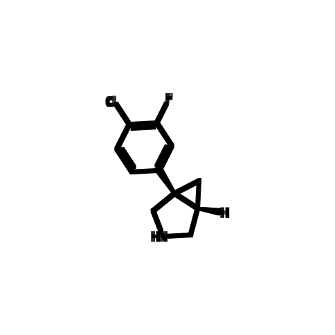 Fc1cc([C@]23CNC[C@H]2C3)ccc1Cl